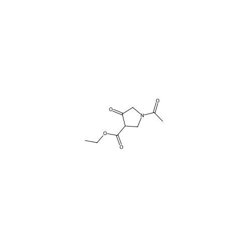 CCOC(=O)C1CN(C(C)=O)CC1=O